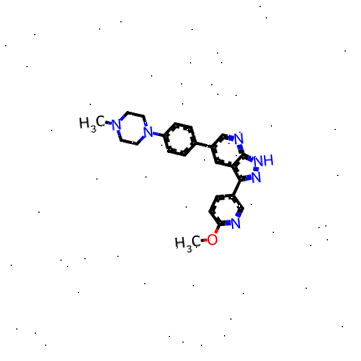 COc1ccc(-c2n[nH]c3ncc(-c4ccc(N5CCN(C)CC5)cc4)cc23)cn1